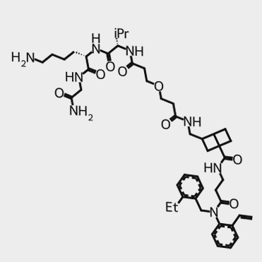 C=Cc1ccccc1N(Cc1ccccc1CC)C(=O)CCNC(=O)C12CCC1C(CNC(=O)CCOCCC(=O)N[C@H](C(=O)N[C@@H](CCCCN)C(=O)NCC(N)=O)C(C)C)C2